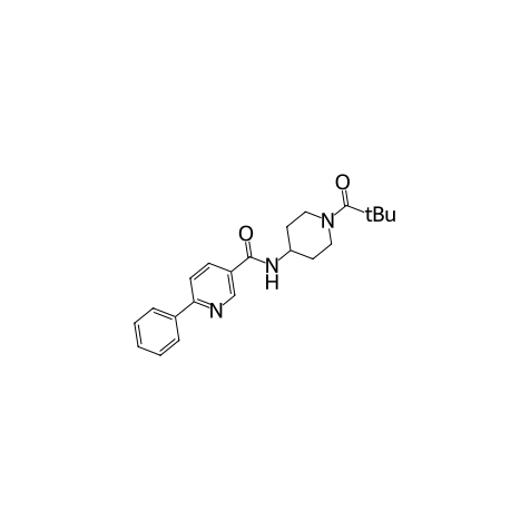 CC(C)(C)C(=O)N1CCC(NC(=O)c2ccc(-c3ccccc3)nc2)CC1